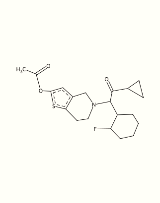 CC(=O)Oc1cc2c(s1)CCN(C(C(=O)C1CC1)C1CCCCC1F)C2